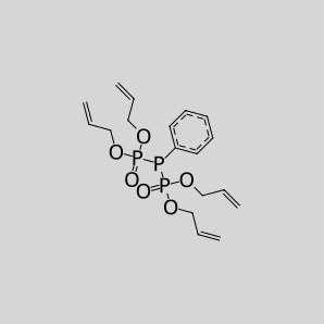 C=CCOP(=O)(OCC=C)P(c1ccccc1)P(=O)(OCC=C)OCC=C